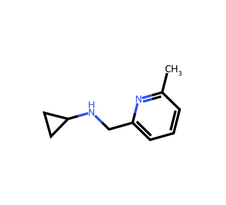 Cc1cccc(CNC2CC2)n1